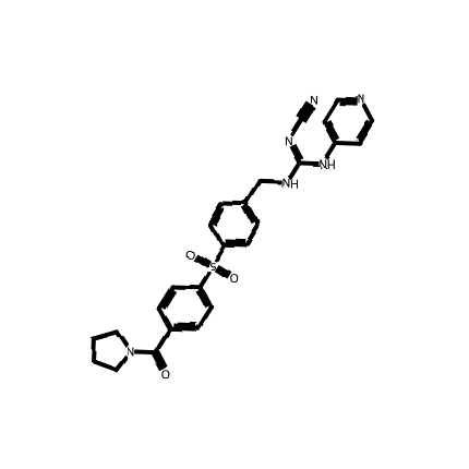 N#CN=C(NCc1ccc(S(=O)(=O)c2ccc(C(=O)N3CCCC3)cc2)cc1)Nc1ccncc1